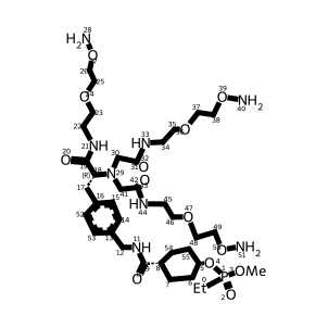 CCP(=O)(OC)O[C@H]1CC[C@H](C(=O)NCc2ccc(C[C@H](C(=O)NCCOCCON)N(CC(=O)NCCOCCON)CC(=O)NCCOCCON)cc2)CC1